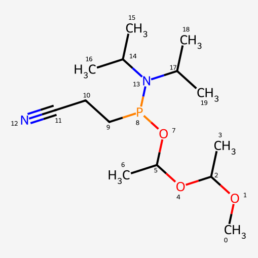 COC(C)OC(C)OP(CCC#N)N(C(C)C)C(C)C